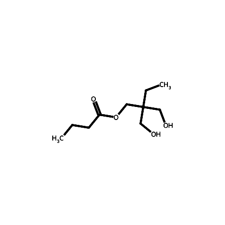 CCCC(=O)OCC(CC)(CO)CO